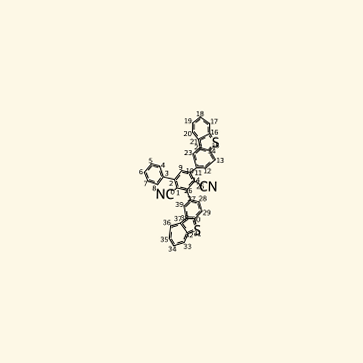 N#Cc1c(-c2ccccc2)cc(-c2ccc3sc4ccccc4c3c2)c(C#N)c1-c1ccc2sc3ccccc3c2c1